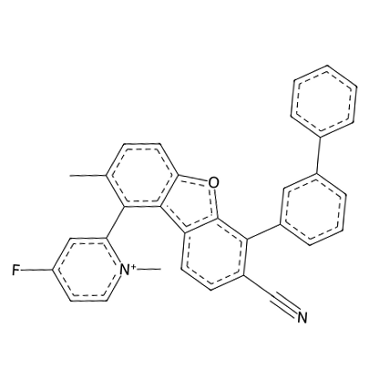 Cc1ccc2oc3c(-c4cccc(-c5ccccc5)c4)c(C#N)ccc3c2c1-c1cc(F)cc[n+]1C